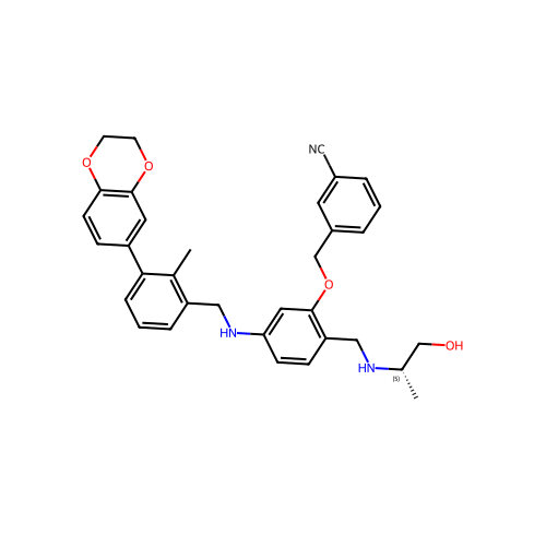 Cc1c(CNc2ccc(CN[C@@H](C)CO)c(OCc3cccc(C#N)c3)c2)cccc1-c1ccc2c(c1)OCCO2